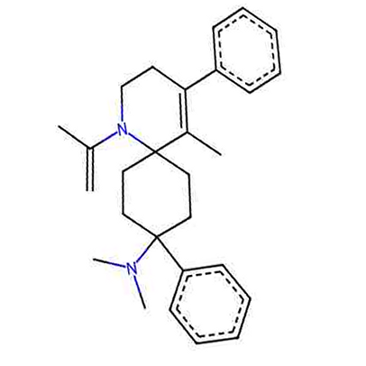 C=C(C)N1CCC(c2ccccc2)=C(C)C12CCC(c1ccccc1)(N(C)C)CC2